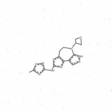 Cc1nc(Nc2nc3c(s2)CCN(C2COC2)c2[nH]ncc2-3)ns1